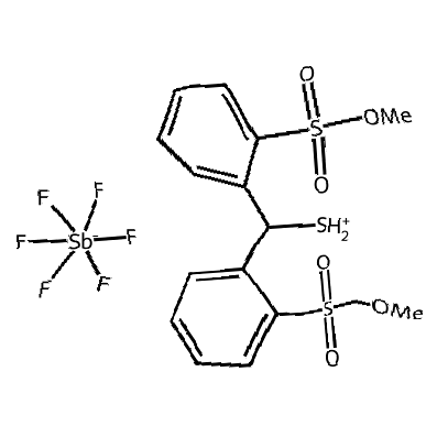 COS(=O)(=O)c1ccccc1C([SH2+])c1ccccc1S(=O)(=O)OC.[F][Sb-]([F])([F])([F])([F])[F]